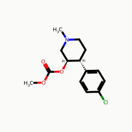 COC(=O)O[C@H]1CN(C)CC[C@@H]1c1ccc(Cl)cc1